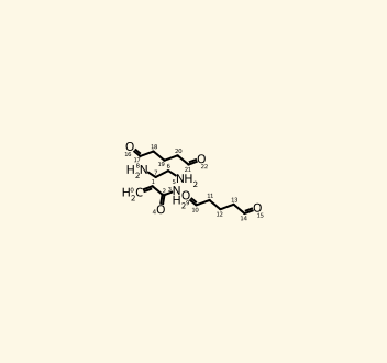 C=CC(N)=O.NCCN.O=CCCCC=O.O=CCCCC=O